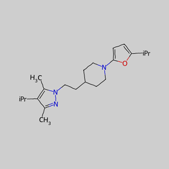 Cc1nn(CCC2CCN(c3ccc(C(C)C)o3)CC2)c(C)c1C(C)C